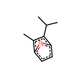 Cc1c(C(C)C)c2ccc1o2